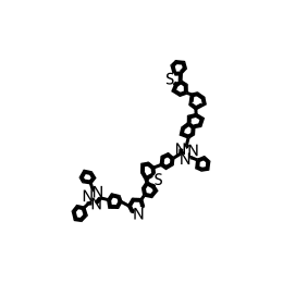 c1ccc(-c2nc(-c3ccccc3)nc(-c3ccc(-c4cncc(-c5ccc6sc7c(-c8ccc(-c9nc(-c%10ccccc%10)nc(-c%10ccc%11cc(-c%12cccc(-c%13ccc%14sc%15ccccc%15c%14c%13)c%12)ccc%11c%10)n9)cc8)cccc7c6c5)c4)cc3)n2)cc1